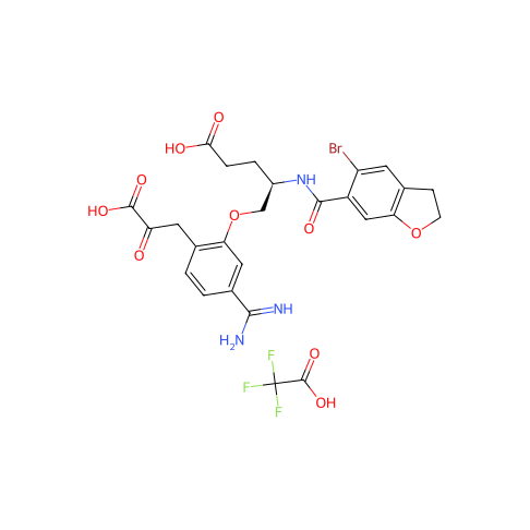 N=C(N)c1ccc(CC(=O)C(=O)O)c(OC[C@@H](CCC(=O)O)NC(=O)c2cc3c(cc2Br)CCO3)c1.O=C(O)C(F)(F)F